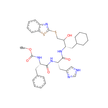 CC(C)(C)OC(=O)N[C@@H](Cc1ccccc1)C(=O)N[C@@H](Cc1c[nH]cn1)C(=O)N[C@@H](CC1CCCCC1)C(O)CSc1nc2ccccc2s1